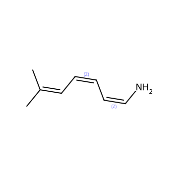 CC(C)=C/C=C\C=C/N